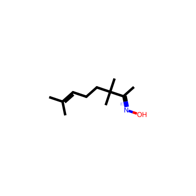 CC(C)=CCCC(C)(C)/C(C)=N/O